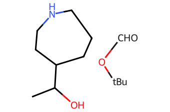 CC(C)(C)OC=O.CC(O)C1CCCNCC1